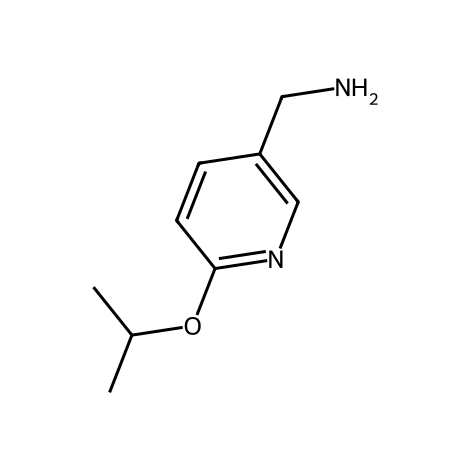 CC(C)Oc1ccc(CN)cn1